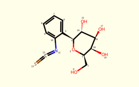 OC[C@H]1O[C@@H](c2ccccc2N=C=S)[C@H](O)[C@@H](O)[C@H]1O